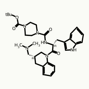 CN(C)C[C@H]1Cc2ccccc2N(C(=O)[C@@H](Cc2c[nH]c3ccccc23)NC(=O)N2CCN(C(=O)OC(C)(C)C)CC2)C1